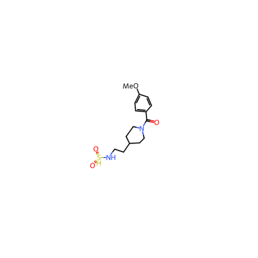 COc1ccc(C(=O)N2CCC(CCN[SH](=O)=O)CC2)cc1